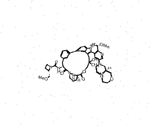 CCn1c(-c2cc(N3CCN4CCOC[C@@H]4C3)cnc2[C@H](C)OC)c2c3cc(ccc31)-c1cccc(c1)C[C@H](NC(=O)N1CC[C@H]1COC)C(=O)N1CCC[C@H](N1)C(=O)OCC(C)(C)C2